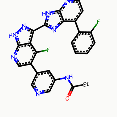 CCC(=O)Nc1cncc(-c2cnc3[nH]nc(-c4nc5c(-c6ccccc6F)ccnc5[nH]4)c3c2F)c1